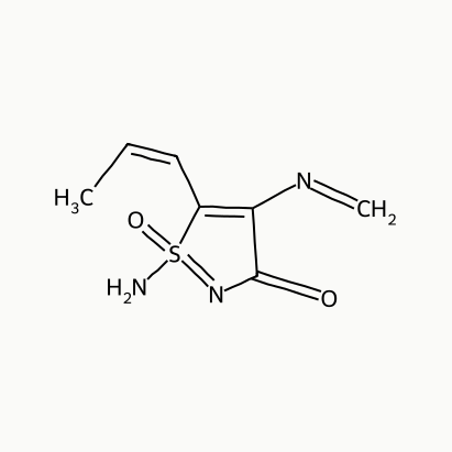 C=NC1=C(/C=C\C)S(N)(=O)=NC1=O